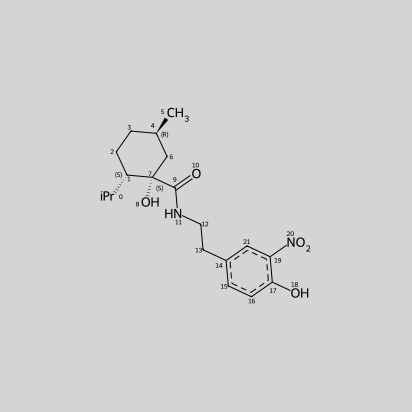 CC(C)[C@@H]1CC[C@@H](C)C[C@@]1(O)C(=O)NCCc1ccc(O)c([N+](=O)[O-])c1